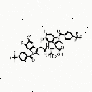 COc1cc2c(CC(=O)NC(C(=O)O)C(C(=O)O)c3c(C)n(C(=O)c4ccc(C(F)(F)F)cc4)c4cc(F)c(OC)cc34)c(C)n(C(=O)c3ccc(C(F)(F)F)cc3)c2cc1F